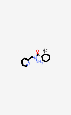 CC(=O)[C@@H]1CCCC[C@@H]1C(=O)N(N)Cc1ccccn1